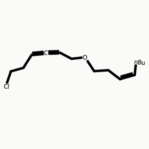 CCCC/C=C\CCOCC=C=CCCCl